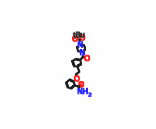 CC(C)(C)OC(=O)N1CCN(C(=O)c2cccc(CCOc3ccccc3C(N)=O)c2)CC1